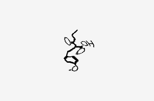 CCCC(=O)C(=Cc1ccc(OC)cc1)C(=O)O